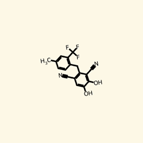 Cc1ccc(Cc2c(C#N)cc(O)c(O)c2C#N)c(C(F)(F)F)c1